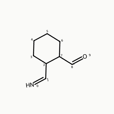 N=[C]C1CCCCC1[C]=O